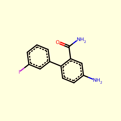 NC(=O)c1cc(N)ccc1-c1cccc(I)c1